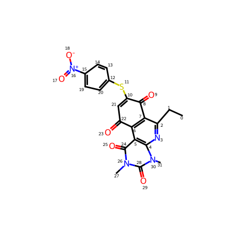 CCc1nc2c(c3c1C(=O)C(Sc1ccc([N+](=O)[O-])cc1)=CC3=O)c(=O)n(C)c(=O)n2C